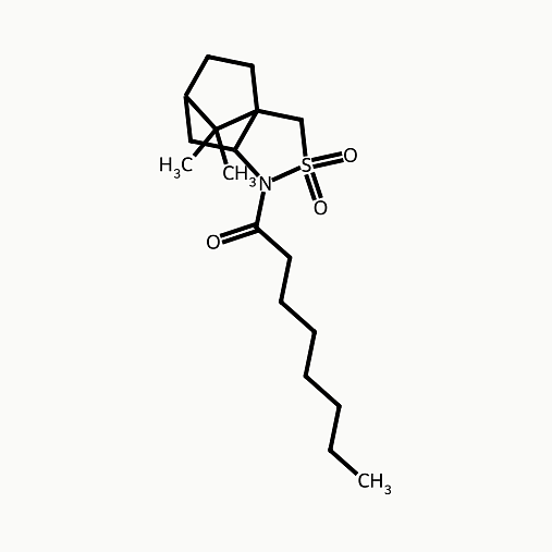 CCCCCCCC(=O)N1C2CC3CCC2(CS1(=O)=O)C3(C)C